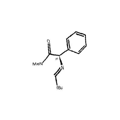 CNC(=O)[C@H](N=CC(C)(C)C)c1ccccc1